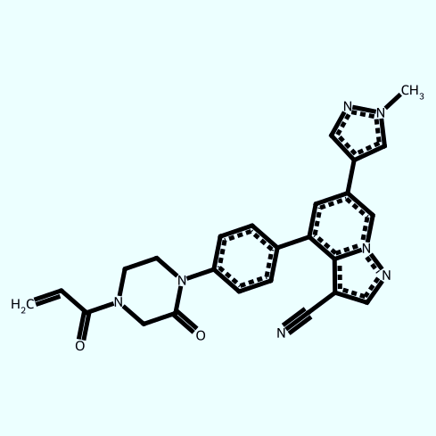 C=CC(=O)N1CCN(c2ccc(-c3cc(-c4cnn(C)c4)cn4ncc(C#N)c34)cc2)C(=O)C1